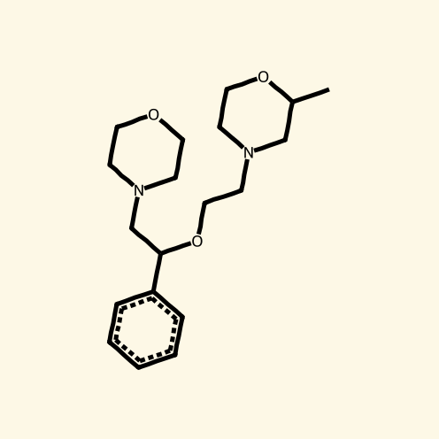 CC1CN(CCOC(CN2CCOCC2)c2ccccc2)CCO1